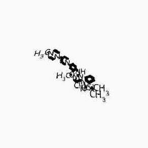 COc1cc(N2CCC(N3CCN(C)CC3)CC2)ccc1Nc1ncc(Cl)c(Nc2ccccc2[S+]([O-])C(C)C)n1